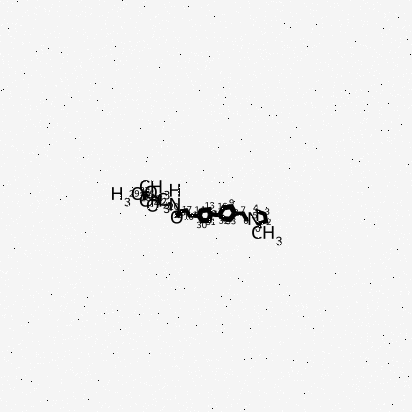 CC1CCCN1CCc1ccc(-c2ccc(CCC(=O)NCCC(=O)OC(C)(C)C)cc2)cc1